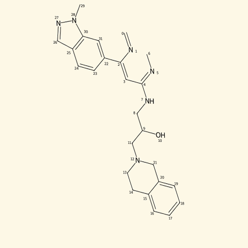 C=N/C(=C\C(=N/C)NCC(O)CN1CCc2ccccc2C1)c1ccc2cnn(C)c2c1